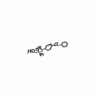 CC(C)C1(CO)CC(c2ccc(OCc3ccccc3)cc2)=NO1